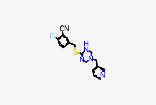 N#Cc1cc(CSC2=NCN(Cc3cccnc3)CN2)ccc1F